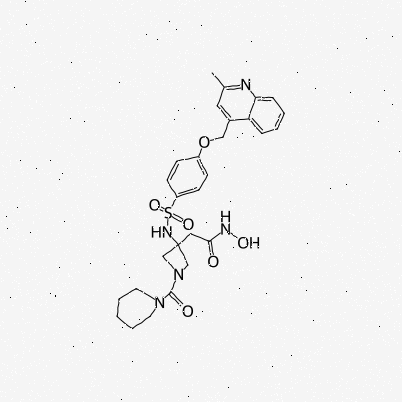 Cc1cc(COc2ccc(S(=O)(=O)NC3(CC(=O)NO)CN(C(=O)N4CCCCC4)C3)cc2)c2ccccc2n1